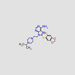 CC(C)N1CCN(CCn2c(Sc3cc4c(cc3Br)OCO4)nc3c(N)ncnc32)CC1